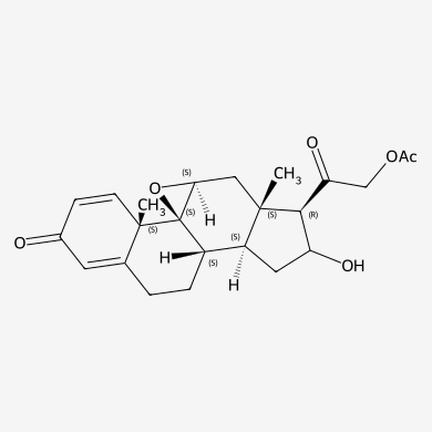 CC(=O)OCC(=O)[C@H]1C(O)C[C@H]2[C@@H]3CCC4=CC(=O)C=C[C@]4(C)[C@@]34O[C@H]4C[C@]12C